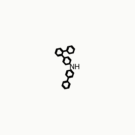 C1=CCCC(c2ccccc2C2=CCC(Nc3ccc(-c4ccccc4)cc3)C=C2)=C1